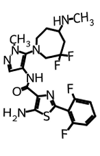 CNC1CCN(c2c(NC(=O)c3nc(-c4c(F)cccc4F)sc3N)cnn2C)CC(F)(F)C1